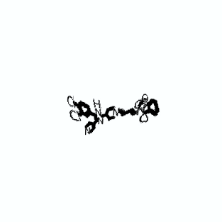 O=C1c2ccccc2S(=O)(=O)N1CCCCN1CCC(c2nc(-c3ccncc3)c(-c3ccc(Cl)c(Cl)c3)[nH]2)CC1